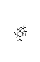 C=C[C@]1(C)C[C@H]2OC(=O)C(=C)[C@H]2C[C@H]1C(=C)C